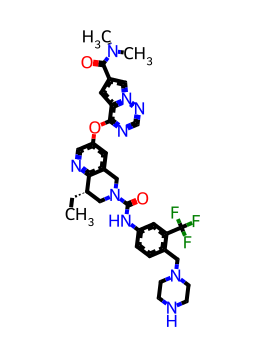 CC[C@H]1CN(C(=O)Nc2ccc(CN3CCNCC3)c(C(F)(F)F)c2)Cc2cc(Oc3ncnn4cc(C(=O)N(C)C)cc34)cnc21